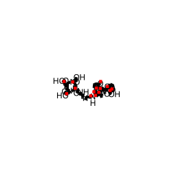 COc1cccc(OC)c1-c1cc(C(=O)NC2(C(=O)O)C3CC4CC(C3)CC2C4)nn1-c1ccc(NCCCN(C)CCCNC(=O)CN2CCN(CC(=O)O)CCN(CC(=O)O)CCN(CC(=O)O)CC2)cc1C(C)C